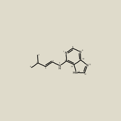 CC(C)/C=C/Nc1ncnc2nc[nH]c12